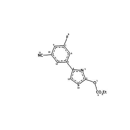 CCOC(=O)Oc1nc(-c2cc(F)cc(C#N)c2)cs1